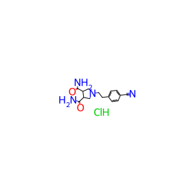 Cl.N#Cc1ccc(CCN2CC(C(N)=O)C(C(N)=O)C2)cc1